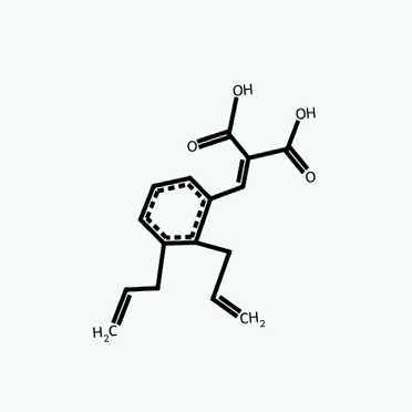 C=CCc1cccc(C=C(C(=O)O)C(=O)O)c1CC=C